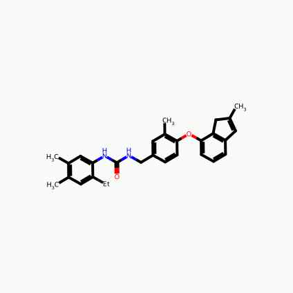 CCc1cc(C)c(C)cc1NC(=O)NCc1ccc(Oc2cccc3c2CC(C)=C3)c(C)c1